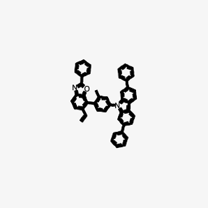 C=Cc1ccc2nc(-c3ccccc3)oc2c1-c1ccc(-n2c3cc(-c4ccccc4)ccc3c3ccc(-c4ccccc4)cc32)cc1C